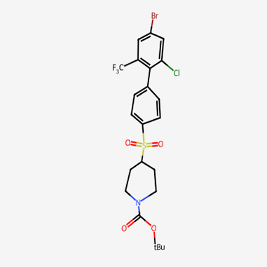 CC(C)(C)OC(=O)N1CCC(S(=O)(=O)c2ccc(-c3c(Cl)cc(Br)cc3C(F)(F)F)cc2)CC1